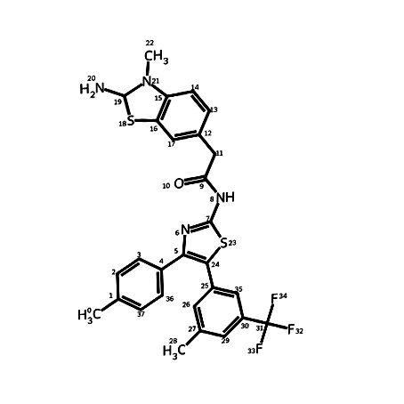 Cc1ccc(-c2nc(NC(=O)Cc3ccc4c(c3)SC(N)N4C)sc2-c2cc(C)cc(C(F)(F)F)c2)cc1